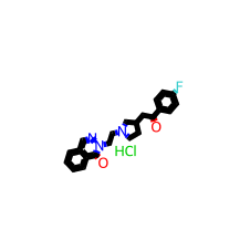 Cl.O=C(CC1CCN(CCn2ncc3ccccc3c2=O)C1)c1ccc(F)cc1